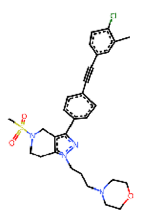 Cc1cc(C#Cc2ccc(-c3nn(CCCN4CCOCC4)c4c3CN(S(C)(=O)=O)CC4)cc2)ccc1Cl